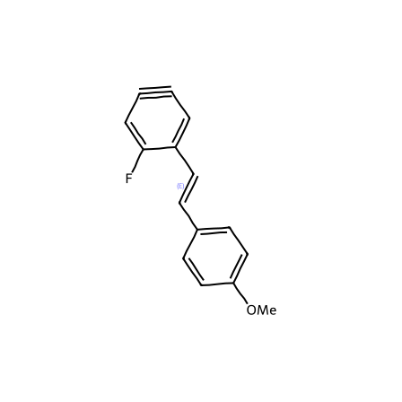 COc1ccc(/C=C/c2cc#ccc2F)cc1